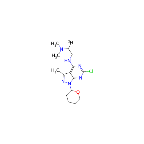 [2H]C(CNc1nc(Cl)nc2c1c(C)nn2C1CCCCO1)N(C)C